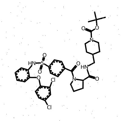 CC(C)(C)OC(=O)N1CCC(CNC(=O)C2CCCN2C(=O)c2ccc(S(=O)(=O)Nc3ccccc3Oc3ccc(Cl)cc3Cl)cc2)CC1